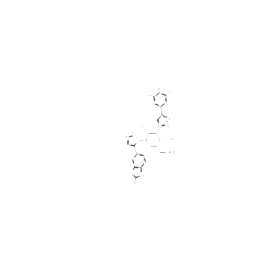 Cc1nc2ccc(-c3cnnn3[C@@H]3O[C@H](CO)[C@H](O)[C@H](n4cc(-c5cc(F)c(F)c(F)c5)nn4)[C@H]3O)cc2s1